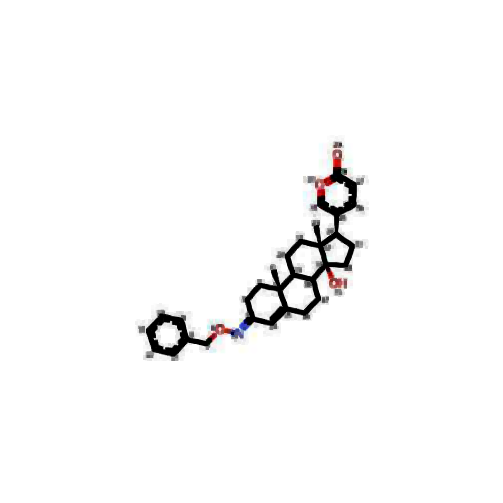 C[C@]12CCC(=NOCc3ccccc3)C=C1CCC1C2CC[C@]2(C)[C@@H](c3ccc(=O)oc3)CC[C@]12O